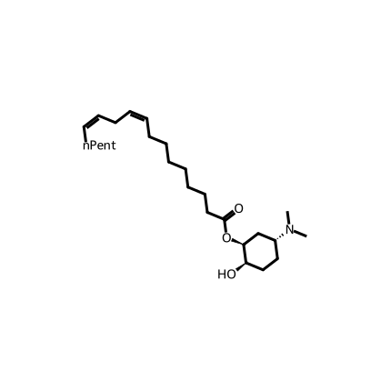 CCCCC/C=C\C/C=C\CCCCCCCC(=O)O[C@H]1C[C@H](N(C)C)CC[C@H]1O